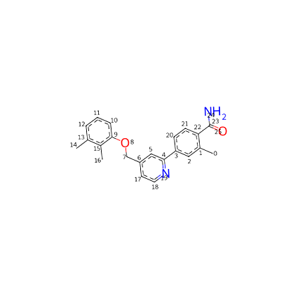 Cc1cc(-c2cc(COc3cccc(C)c3C)ccn2)ccc1C(N)=O